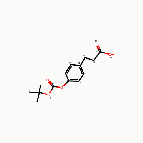 CC(C)(C)OC(=O)Oc1ccc(CCC(=O)O)cc1